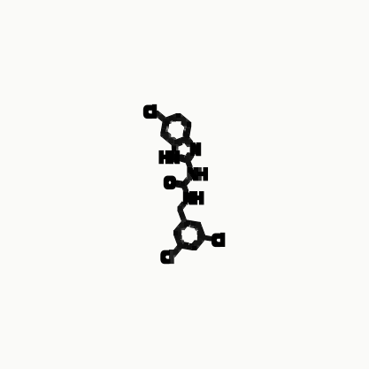 O=C(NCc1cc(Cl)cc(Cl)c1)Nc1nc2ccc(Cl)cc2[nH]1